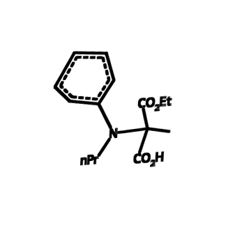 CCCN(c1ccccc1)C(C)(C(=O)O)C(=O)OCC